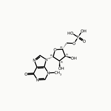 Cn1cnc(=O)c2ncn([C@@H]3O[C@H](COP(=O)(O)O)[C@@H](O)[C@H]3O)c21